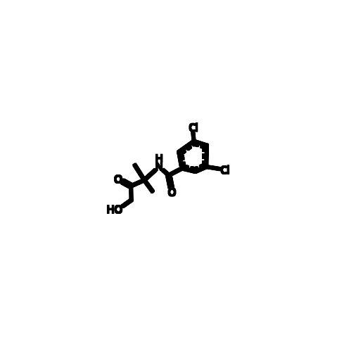 CC(C)(NC(=O)c1cc(Cl)cc(Cl)c1)C(=O)CO